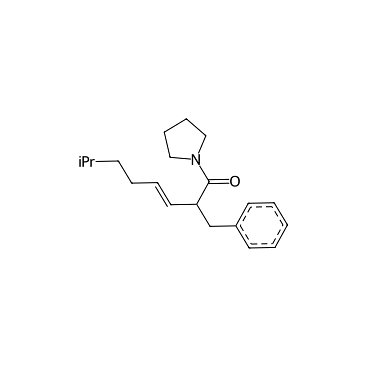 CC(C)CC/C=C/C(Cc1ccccc1)C(=O)N1CCCC1